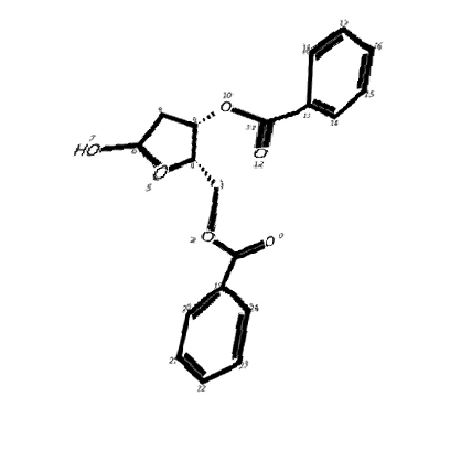 O=C(OC[C@@H]1OC(O)C[C@@H]1OC(=O)c1ccccc1)c1ccccc1